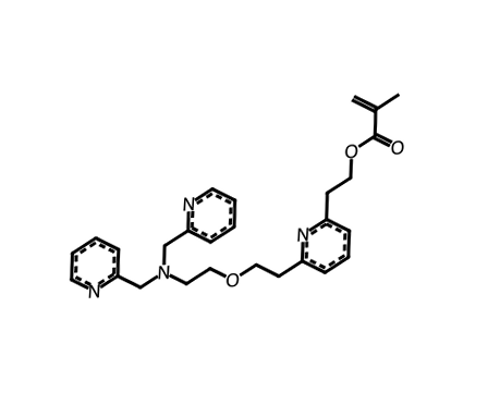 C=C(C)C(=O)OCCc1cccc(CCOCCN(Cc2ccccn2)Cc2ccccn2)n1